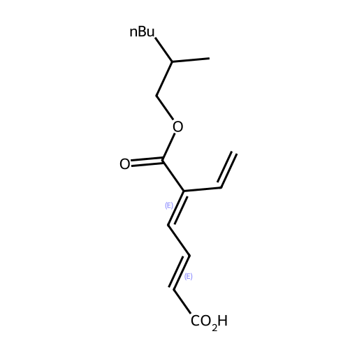 C=C/C(=C\C=C\C(=O)O)C(=O)OCC(C)CCCC